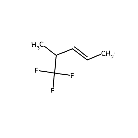 [CH2]C=CC(C)C(F)(F)F